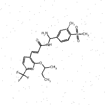 CCC(C)Oc1nc(C(F)(F)F)ccc1C=CC(=O)NC(N)c1ccc(S(C)(=O)=O)c(C)c1